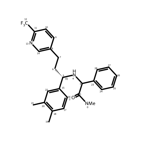 CNC(=O)C(N[C@@H](CCc1ccc(C(F)(F)F)nc1)c1ccc(C)c(C)c1)c1ccccc1